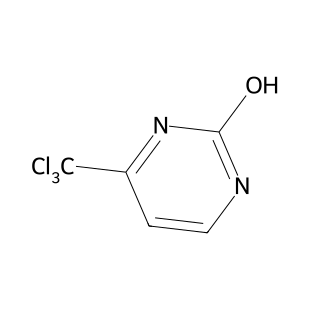 Oc1nccc(C(Cl)(Cl)Cl)n1